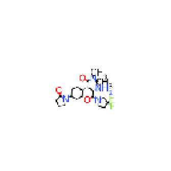 CN(C)C(=O)[C@@H](C1CCC(N2CCCC2=O)CC1)[C@H](N)C(=O)N1CCC(F)(F)C1